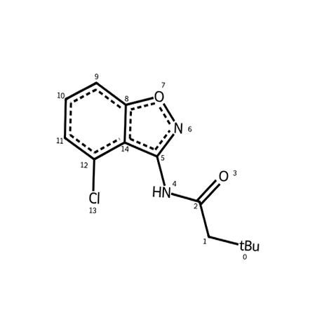 CC(C)(C)CC(=O)Nc1noc2cccc(Cl)c12